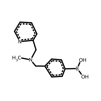 CN(Cc1ccc(B(O)O)cc1)Cc1ccccn1